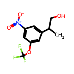 [CH2]C(CO)c1cc(OC(F)(F)F)cc([N+](=O)[O-])c1